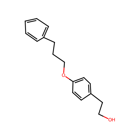 OCCc1ccc(OCCCc2ccccc2)cc1